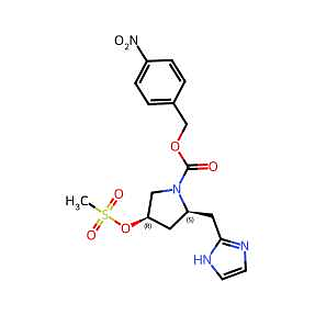 CS(=O)(=O)O[C@@H]1C[C@H](Cc2ncc[nH]2)N(C(=O)OCc2ccc([N+](=O)[O-])cc2)C1